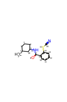 CC1CCCC(NC(=O)c2ccccc2SC#N)C1